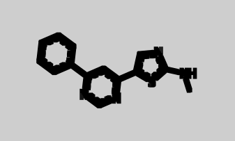 CNc1ncc(-c2cc(-c3ccccc3)ncn2)s1